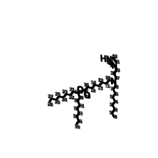 CCCCCCCCCN(CCCCCCCC(=O)OC(CCCCCCCC)CCCCCCCC)CCCN1C=CNC1